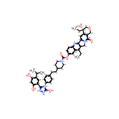 CCc1c2c(nc3ccc(OC(=O)N4CCC(CCc5ccc(-n6c(O)nnc6-c6cc(C(C)C)c(O)cc6O)cc5)CC4)cc13)-c1cc3c(c(=O)n1C2)COC[C@]3(O)CC